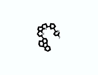 Fc1ccc(-c2cccc(-c3ccc4ccc5ccc(-c6ccc7c8c(cccc68)-c6ccccc6-7)nc5c4n3)c2)nc1